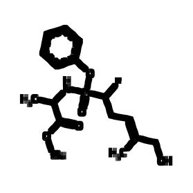 C/C(=C\CC(F)P(=O)(NC(C)C(=O)OC(C)(C)C)Oc1ccccc1)CO